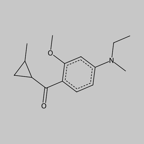 CCN(C)c1ccc(C(=O)C2CC2C)c(OC)c1